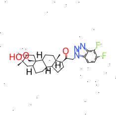 COC[C@]12CC[C@@](C)(O)C[C@@H]1CC[C@H]1[C@@H]3CC[C@H](C(=O)Cn4nnc5c(F)c(F)ccc54)[C@@]3(C)CC[C@@H]12